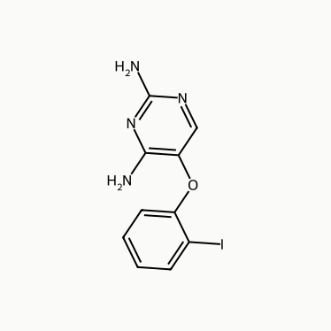 Nc1ncc(Oc2ccccc2I)c(N)n1